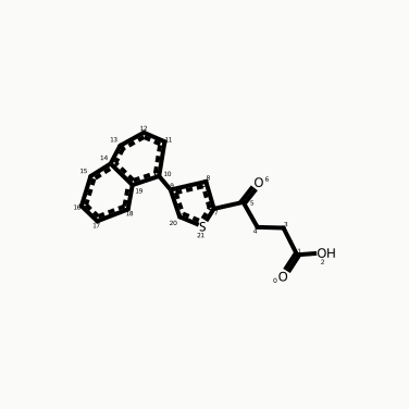 O=C(O)CCC(=O)c1cc(-c2cccc3ccccc23)cs1